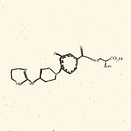 CC(=O)N[C@@H](CNC(=O)c1ccc(N2CCC(NC3=NCCCN3)CC2)c(F)c1)C(=O)O